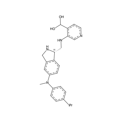 CC(C)c1ccc(N(C)c2ccc3c(c2)CN[C@@H]3CNc2cnccc2C(O)O)cc1